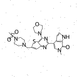 Cn1cc(-c2nc(N3CCOCC3)c3sc(CN4CCN(S(C)(=O)=O)CC4)cc3n2)c2cc[nH]c2c1=O